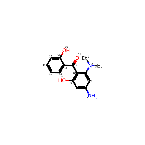 CCN(CC)c1cc(N)cc(O)c1C(=O)c1ccccc1O